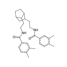 Cc1ccc(C(=O)NCCC2CC3CCC2C3CCNC(=O)c2ccc(C)c(C)c2)cc1C